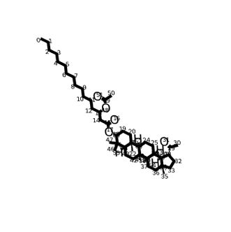 CCCCCCCCCCCCCC(CC(=O)O[C@H]1CC[C@]2(C)[C@H]3CC[C@@H]4[C@H]5[C@H](C(C)=O)CC[C@]5(C)CC[C@@]4(C)[C@]3(C)CC[C@H]2C1(C)C)OC(C)=O